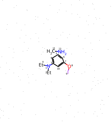 CCN(CC)c1cccc(OI)c1.CN